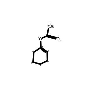 CC(C)(C)C(=O)OC1=CCCCC1